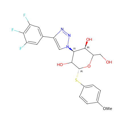 COc1ccc(S[C@H]2OC(CO)[C@H](O)[C@H](n3cc(-c4cc(F)c(F)c(F)c4)nn3)C2O)cc1